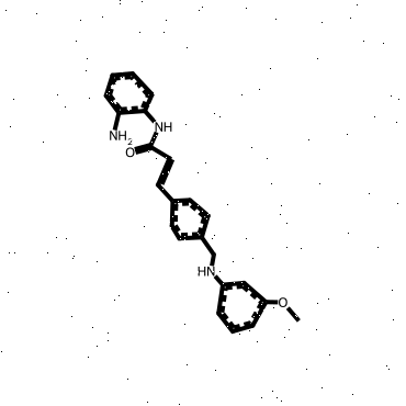 COc1cccc(NCc2ccc(/C=C/C(=O)Nc3ccccc3N)cc2)c1